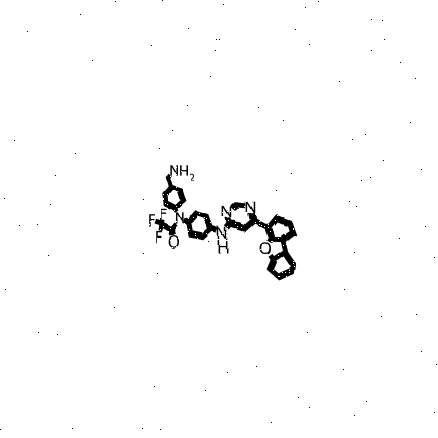 NCc1ccc(N(C(=O)C(F)(F)F)c2ccc(Nc3cc(-c4cccc5c4oc4ccccc45)ncn3)cc2)cc1